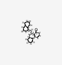 O=C1CC=CC=C1[S+](Cc1ccccc1)Cc1cccc2ccccc12